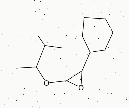 CC(C)C(C)OC1OC1C1CCCCC1